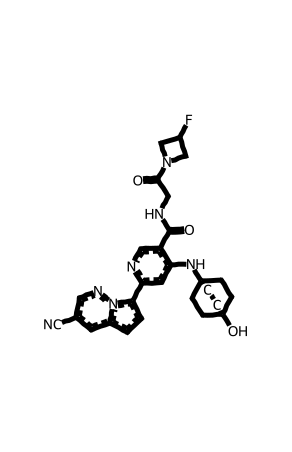 N#Cc1cnn2c(-c3cc(NC45CCC(O)(CC4)CC5)c(C(=O)NCC(=O)N4CC(F)C4)cn3)ccc2c1